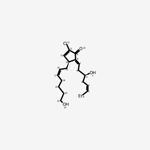 CC/C=C\C[C@H](O)C/C=C1/C(=O)C(Cl)=C[C@@H]1C/C=C\CCCCO